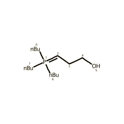 CCCCP(=CCCO)(CCCC)CCCC